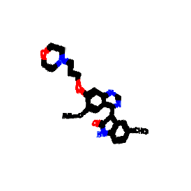 COc1cc2c(C3C(=O)Nc4ccc(C=O)cc43)ncnc2cc1OCCCN1CCOCC1